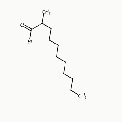 CCCCCCCCCC(C)C(=O)Br